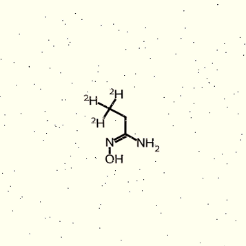 [2H]C([2H])([2H])CC(N)=NO